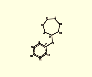 [CH]1CCCCC(Cc2ccccc2)C1